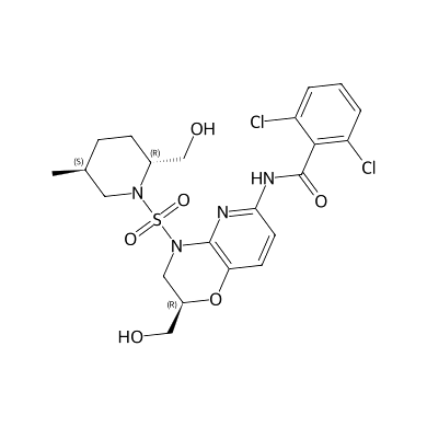 C[C@H]1CC[C@H](CO)N(S(=O)(=O)N2C[C@H](CO)Oc3ccc(NC(=O)c4c(Cl)cccc4Cl)nc32)C1